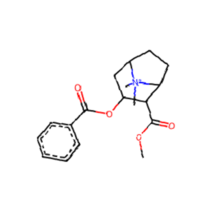 COC(=O)C1C(OC(=O)c2ccccc2)CC2CCC1[N+]2(C)C